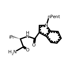 CCCCCn1cc(C(=O)N[C@H](C(N)=O)C(C)C)c2ccccc21